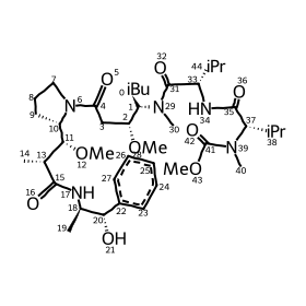 CC[C@H](C)[C@@H]([C@@H](CC(=O)N1CCC[C@H]1[C@H](OC)[C@@H](C)C(=O)N[C@H](C)[C@@H](O)c1ccccc1)OC)N(C)C(=O)[C@@H](NC(=O)[C@H](C(C)C)N(C)C(=O)OC)C(C)C